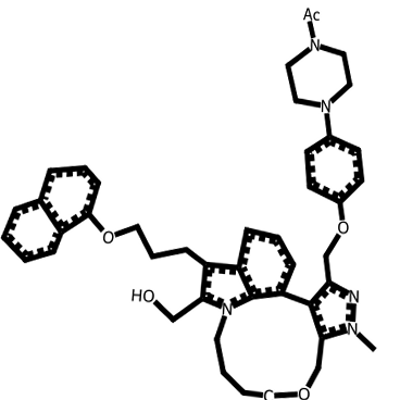 CC(=O)N1CCN(c2ccc(OCc3nn(C)c4c3-c3cccc5c(CCCOc6cccc7ccccc67)c(CO)n(c35)CCCCOC4)cc2)CC1